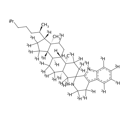 [2H]c1c([2H])c([2H])c2c(c1[2H])c1c(n2[2H])C2(N([2H])C([2H])([2H])C1([2H])[2H])C([2H])([2H])C([2H])([2H])[C@]1(C)[C@H]3CC([2H])[C@@]4(C)[C@@]([2H])(C([2H])([2H])C([2H])([2H])[C@]4([2H])[C@H](C)CCCC(C)C)[C@]3([2H])C([2H])([2H])C([2H])([2H])[C@]1([2H])C2([2H])[2H]